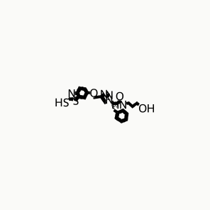 O=C(NCCCO)[C@H](Cc1ccccc1)n1cc(COc2ccc3nc(S)sc3c2)nn1